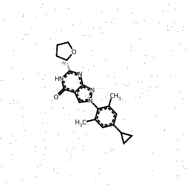 Cc1cc(C2CC2)cc(C)c1-n1cc2c(=O)[nH]c([C@@H]3CCCO3)nc2n1